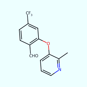 Cc1ncccc1Oc1cc(C(F)(F)F)ccc1C=O